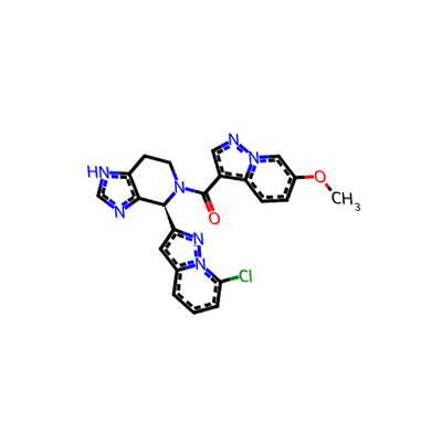 COc1ccc2c(C(=O)N3CCc4[nH]cnc4[C@@H]3c3cc4cccc(Cl)n4n3)cnn2c1